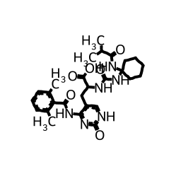 Cc1cccc(C)c1C(=O)Nc1nc(=O)[nH]cc1CC(NC(=O)NC1(NC(=O)C(C)C)CCCCC1)C(=O)O